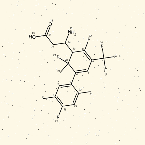 Cc1cc(C2=CC(C(F)(F)F)=C(F)C(C(N)CC(=O)O)C2(C)F)c(C)cc1F